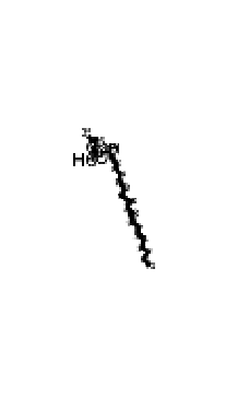 CCCCCCCCCCCCCCCCCC(=O)[O][Ti]([OH])([OH])[O]C(C)C